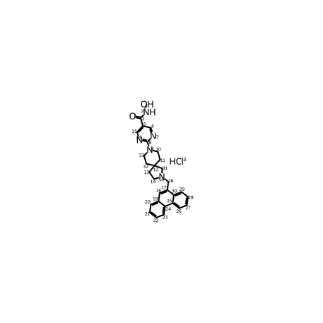 Cl.O=C(NO)c1cnc(N2CCC3(CCN(Cc4cc5ccccc5c5ccccc45)C3)CC2)nc1